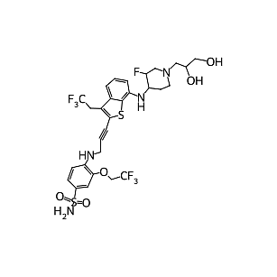 NS(=O)(=O)c1ccc(NCC#Cc2sc3c(NC4CCN(CC(O)CO)CC4F)cccc3c2CC(F)(F)F)c(OCC(F)(F)F)c1